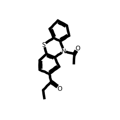 CCC(=O)c1ccc2c(c1)N(C(C)=O)c1ccccc1S2